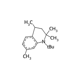 Cc1ccc2c(c1)N(C(C)(C)C)C(C)(C)CC2C